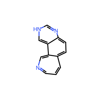 C1=Cc2ccc3c(c2=CN=C1)=CNC=N3